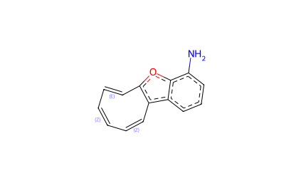 Nc1cccc2c3c(oc12)/C=C/C=C\C=C/3